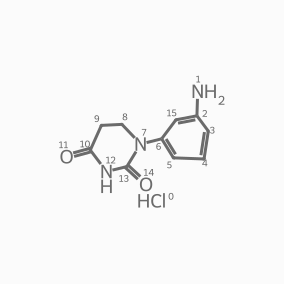 Cl.Nc1cccc(N2CCC(=O)NC2=O)c1